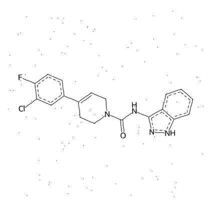 O=C(Nc1n[nH]c2ccccc12)N1CC=C(c2ccc(F)c(Cl)c2)CC1